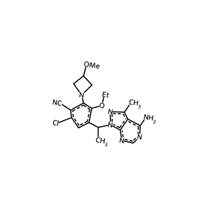 CCOc1c(C(C)n2nc(C)c3c(N)ncnc32)cc(Cl)c(C#N)c1N1CC(OC)C1